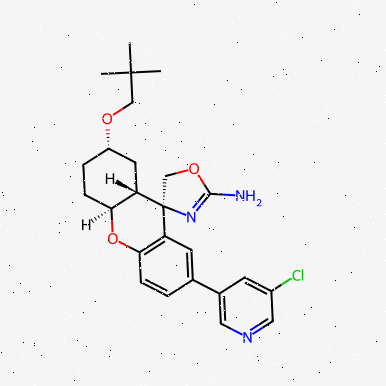 CC(C)(C)CO[C@H]1CC[C@@H]2Oc3ccc(-c4cncc(Cl)c4)cc3[C@@]3(COC(N)=N3)[C@H]2C1